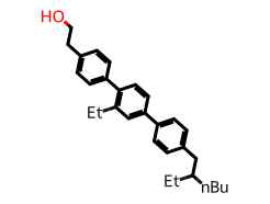 CCCCC(CC)Cc1ccc(-c2ccc(-c3ccc(CCO)cc3)c(CC)c2)cc1